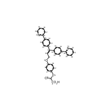 O=C(O)C(Cl)Oc1ccc(OCC=C(c2ccc(-c3ccccn3)cc2)c2ccc(-c3ccccn3)cc2)cc1